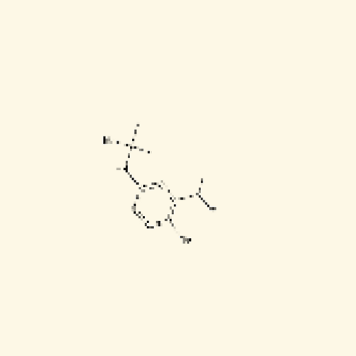 CCC(C)(C)Nc1cc(C(F)F)c(Br)cn1